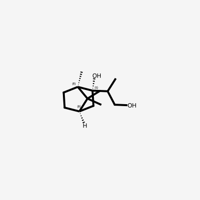 CC(CO)[C@@]1(O)C[C@H]2CC[C@]1(C)C2(C)C